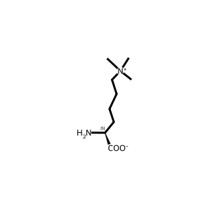 C[N+](C)(C)CCCC[C@H](N)C(=O)[O-]